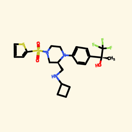 C[C@](O)(c1ccc(N2CCN(S(=O)(=O)c3cccs3)C[C@@H]2CNC2CCC2)cc1)C(F)(F)F